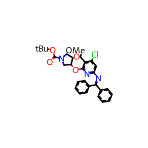 COC(=O)c1c(Cl)cc(N=C(c2ccccc2)c2ccccc2)nc1OC1CCN(C(=O)OC(C)(C)C)C1